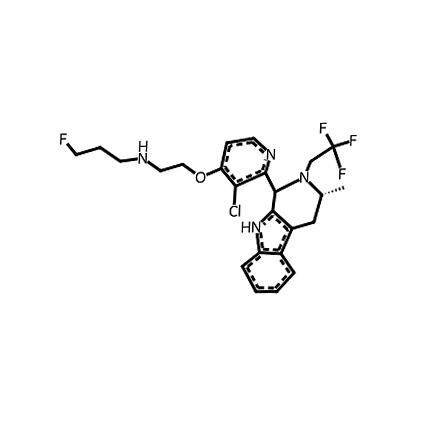 C[C@@H]1Cc2c([nH]c3ccccc23)C(c2nccc(OCCNCCCF)c2Cl)N1CC(F)(F)F